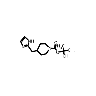 CC(C)(C)OC(=O)N1CCC(Cc2ncc[nH]2)CC1